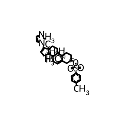 Cc1ccc(S(=O)(=O)O[C@H]2CC[C@@]3(C)C(=CC[C@@H]4[C@@H]3CC[C@]3(C)C(n5ccnc5)=CC[C@@H]43)C2)cc1